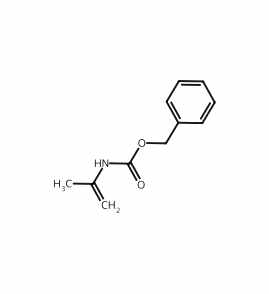 C=C(C)NC(=O)OCc1ccccc1